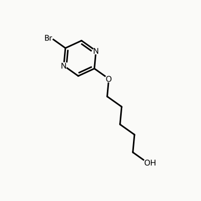 OCCCCCOc1cnc(Br)cn1